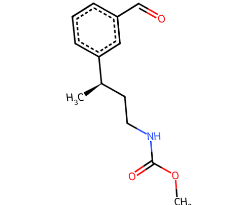 COC(=O)NCC[C@@H](C)c1cccc(C=O)c1